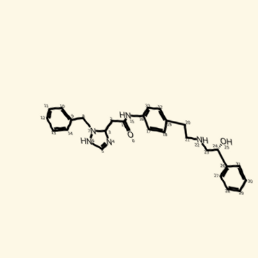 O=C(CC1N=CNN1Cc1ccccc1)Nc1ccc(CCNC[C@H](O)c2ccccc2)cc1